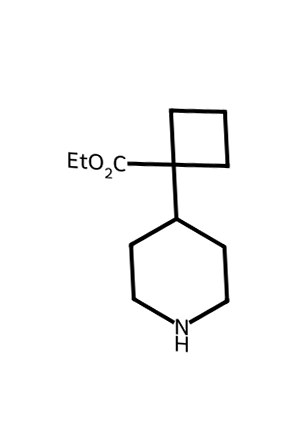 CCOC(=O)C1(C2CCNCC2)CCC1